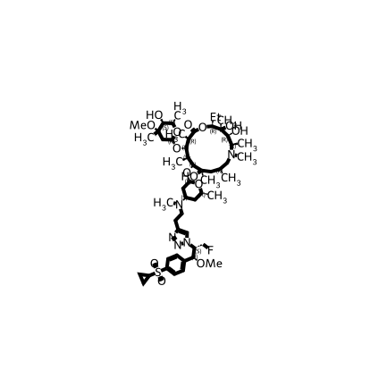 CC[C@H]1OC(=O)[C@H](C)[C@@H](O[C@H]2C[C@@](C)(OC)[C@@H](O)[C@H](C)O2)[C@H](C)[C@@H](O[C@H]2C[C@@H](N(C)CCc3cn([C@H](CF)[C@H](OC)c4ccc(S(=O)(=O)C5CC5)cc4)nn3)C[C@@H](C)O2)[C@](C)(O)C[C@@H](C)CN(C)[C@H](C)[C@@H](O)[C@]1(C)O